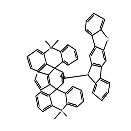 C[Si]1(C)c2ccccc2C2(c3ccccc31)c1cc(-n3c4ccccc4c4cc5oc6ccccc6c5cc43)sc1C1(c3ccccc3[Si](C)(C)c3ccccc31)c1ccsc12